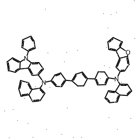 C1=C(C2=CC=C(N(c3ccc4oc5ccccc5c4c3)c3cccc4ccccc34)CC2)CCC(c2ccc(N(c3ccc4c(c3)c3ccccc3n4-c3ccccc3)c3cccc4ccccc34)cc2)=C1